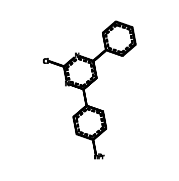 CCCc1ccc(-c2cc(-c3ccccc3)nc(Cl)n2)cc1